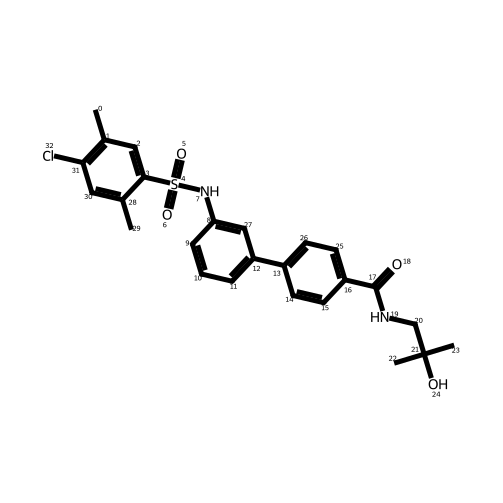 Cc1cc(S(=O)(=O)Nc2cccc(-c3ccc(C(=O)NCC(C)(C)O)cc3)c2)c(C)cc1Cl